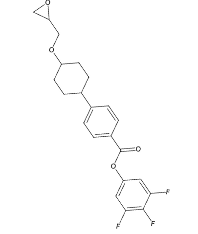 O=C(Oc1cc(F)c(F)c(F)c1)c1ccc(C2CCC(OCC3CO3)CC2)cc1